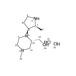 C[C@@H]1NCC[C@@H]1N1CCN(C)C[C@H]1CO.Cl.Cl